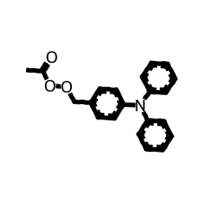 CC(=O)OOCc1ccc(N(c2ccccc2)c2ccccc2)cc1